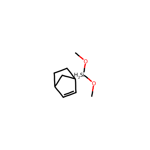 C1=CC2CCC1C2.CO[SiH2]OC